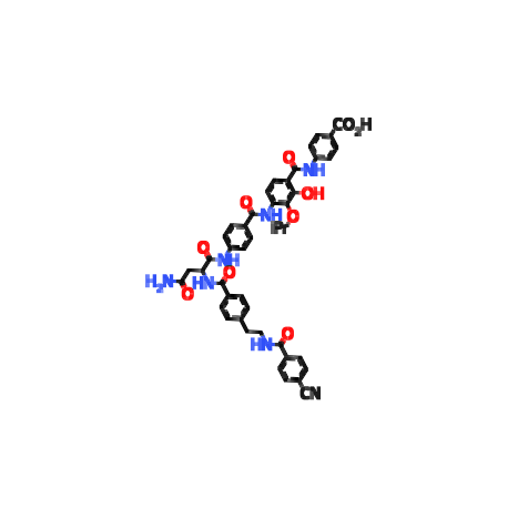 CC(C)Oc1c(NC(=O)c2ccc(NC(=O)C(CC(N)=O)NC(=O)c3ccc(CCNC(=O)c4ccc(C#N)cc4)cc3)cc2)ccc(C(=O)Nc2ccc(C(=O)O)cc2)c1O